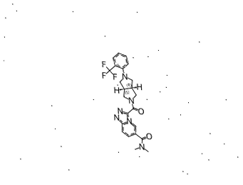 CN(C)C(=O)c1ccc2nnc(C(=O)N3C[C@@H]4CN(c5ccccc5C(F)(F)F)C[C@@H]4C3)n2c1